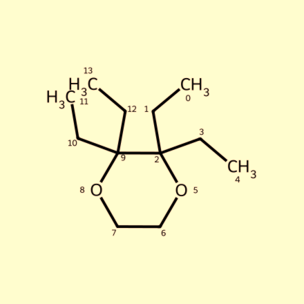 CCC1(CC)OCCOC1(CC)CC